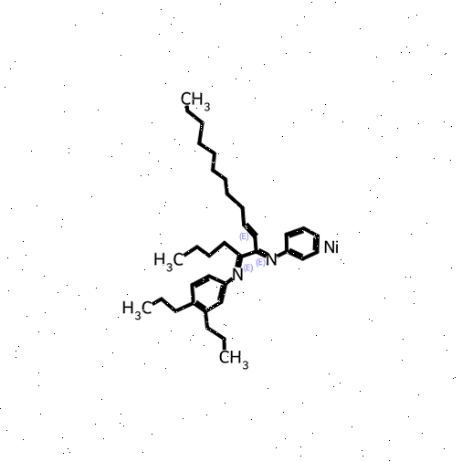 CCCCCCCCC/C=C/C(=N\c1ccccc1)C(/CCCC)=N/c1ccc(CCC)c(CCC)c1.[Ni]